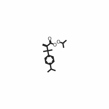 C=C(C(=O)OO[C](C)C)C(C)(C)c1ccc(C(C)C)cc1